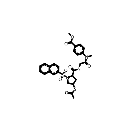 COC(=O)c1ccc(N(C)C(=O)CNC(=O)C2CC(SC(C)=O)CN2S(=O)(=O)c2ccc3ccccc3c2)cc1